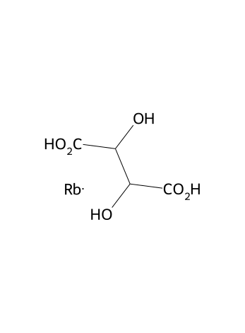 O=C(O)C(O)C(O)C(=O)O.[Rb]